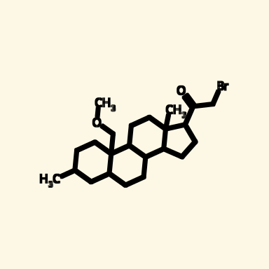 COCC12CCC(C)CC1CCC1C3CCC(C(=O)CBr)C3(C)CCC12